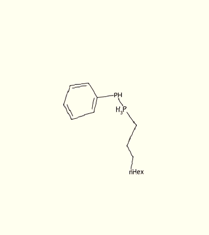 CCCCCCCCC[PH3]Pc1ccccc1